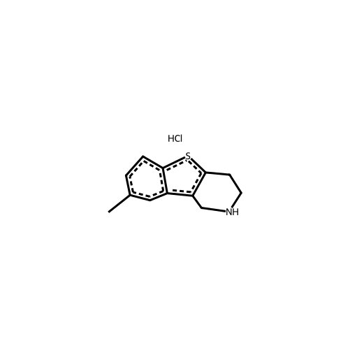 Cc1ccc2sc3c(c2c1)CNCC3.Cl